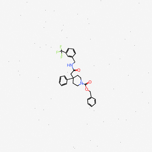 O=C(CC1(c2ccccc2)CCN(C(=O)OCc2ccccc2)CC1)NCc1cccc(C(F)(F)F)c1